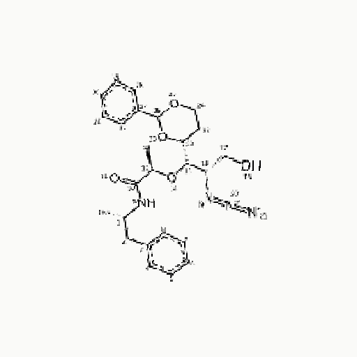 C[C@@H](Cc1ccccc1)NC(=O)[C@@H](C)OC([C@H](CO)N=[N+]=[N-])[C@H]1CCOC(c2ccccc2)O1